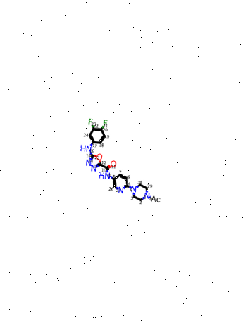 CC(=O)N1CCN(c2ccc(NC(=O)c3nnc(Nc4ccc(F)c(F)c4)o3)cn2)CC1